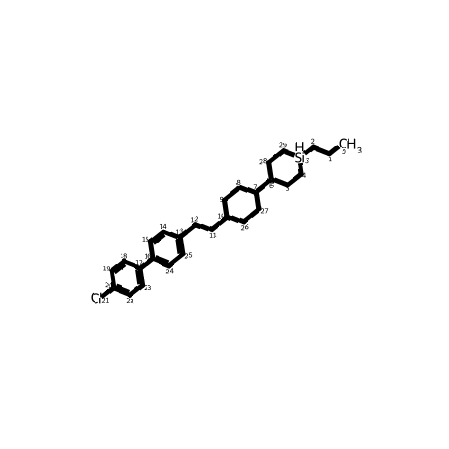 CCC[SiH]1CCC(C2CCC(CCc3ccc(-c4ccc(Cl)cc4)cc3)CC2)CC1